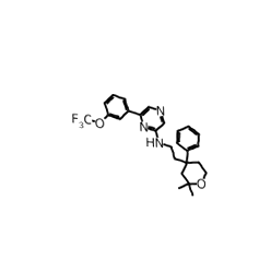 CC1(C)CC(CCNc2cncc(-c3cccc(OC(F)(F)F)c3)n2)(c2ccccc2)CCO1